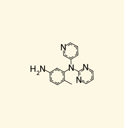 Cc1ccc(N)cc1N(c1cccnc1)c1ncccn1